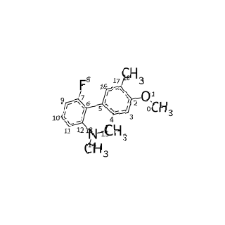 COc1ccc(-c2c(F)[c]ccc2N(C)C)cc1C